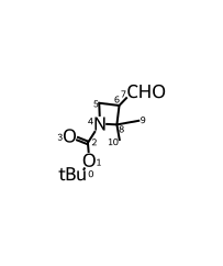 CC(C)(C)OC(=O)N1CC(C=O)C1(C)C